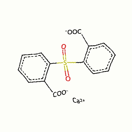 O=C([O-])c1ccccc1S(=O)(=O)c1ccccc1C(=O)[O-].[Ca+2]